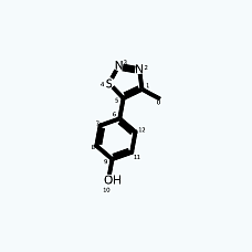 Cc1nnsc1-c1ccc(O)cc1